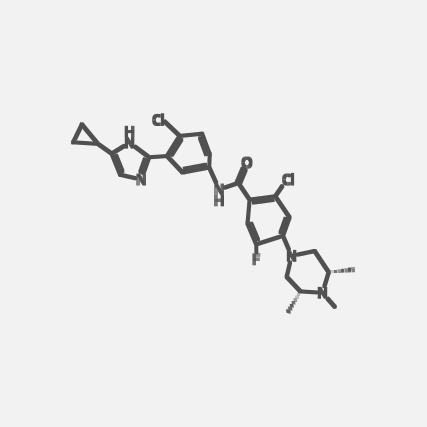 C[C@@H]1CN(c2cc(Cl)c(C(=O)Nc3ccc(Cl)c(-c4ncc(C5CC5)[nH]4)c3)cc2F)C[C@H](C)N1C